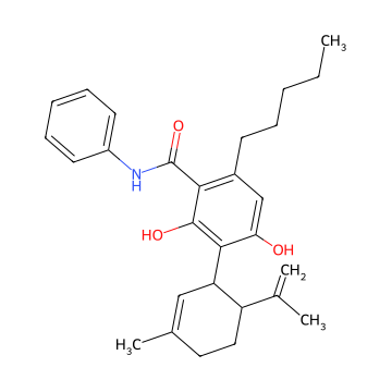 C=C(C)C1CCC(C)=CC1c1c(O)cc(CCCCC)c(C(=O)Nc2ccccc2)c1O